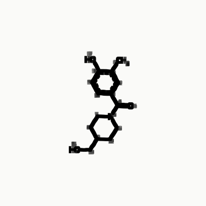 Cc1cc(C(=O)N2CCC(CO)CC2)ccc1O